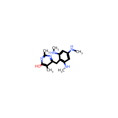 CNc1cc(NC)c(Cc2nc(C)nc(O)c2C)c(NC)c1